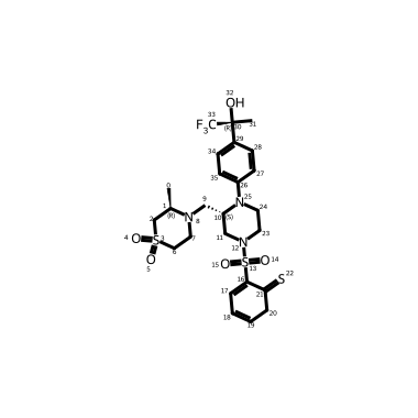 C[C@@H]1CS(=O)(=O)CCN1C[C@H]1CN(S(=O)(=O)C2=CC=CCC2=S)CCN1c1ccc([C@@](C)(O)C(F)(F)F)cc1